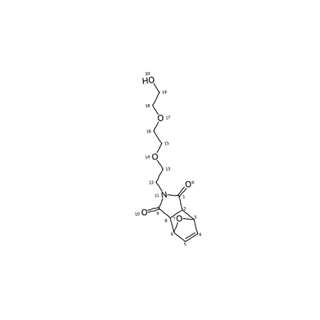 O=C1C2C3C=CC(O3)C2C(=O)N1CCOCCOCCO